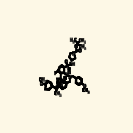 COc1ccc(CN(Cc2ccc(OC)cc2)S(=O)(=O)c2c(S(=O)(=O)N[C@@H]3CCN(C(=O)OC(C)(C)C)C3)ccc(I)c2-c2nnn(Cc3ccc(OC)cc3)n2)cc1